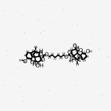 COc1ccc2c3c1O[C@H]1C(=O)CC[C@@]4(OC(=O)OCCCCCCOC(=O)O[C@@]56CCC(O)[C@@H]7Oc8c(OC)ccc9c8C75CCN(C)[C@@H]6C9)[C@@H](C2)N(C)CCC314